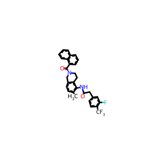 Cc1ccc2c(c1NC(=O)Cc1ccc(C(F)(F)F)c(F)c1)CCN(C(=O)c1cccc3ccccc13)C2